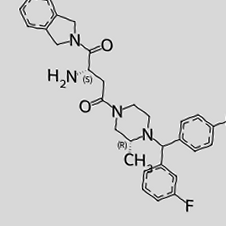 C[C@@H]1CN(C(=O)C[C@H](N)C(=O)N2Cc3ccccc3C2)CCN1C(c1ccc(F)cc1)c1cccc(F)c1